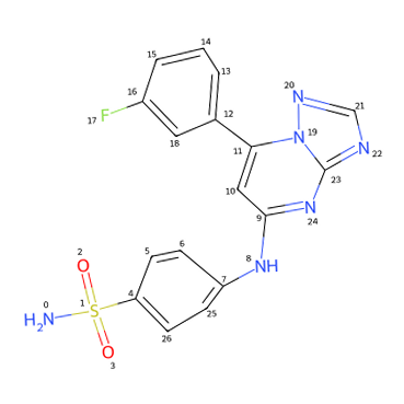 NS(=O)(=O)c1ccc(Nc2cc(-c3cccc(F)c3)n3ncnc3n2)cc1